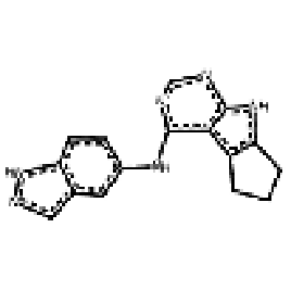 c1nc(Nc2ccc3[nH]ncc3c2)c2c3c([nH]c2n1)CCC3